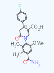 COc1cc(C(N)=O)c(C)c(C)c1N1C=C(C(=O)O)[C@H](c2ccc(F)cc2)CC1=O